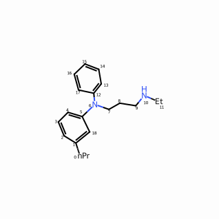 CCCc1cccc(N(CCCNCC)c2ccccc2)c1